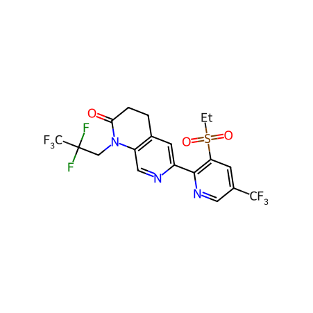 CCS(=O)(=O)c1cc(C(F)(F)F)cnc1-c1cc2c(cn1)N(CC(F)(F)C(F)(F)F)C(=O)CC2